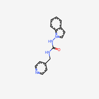 O=C(NCc1ccncc1)Nn1ccc2ccccc21